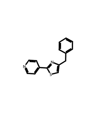 c1ccc(Cc2csc(-c3ccncc3)n2)cc1